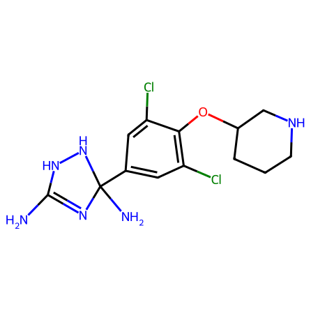 NC1=NC(N)(c2cc(Cl)c(OC3CCCNC3)c(Cl)c2)NN1